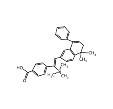 CC1(C)CC=C(c2ccccc2)c2cc(/C=C(/c3ccc(C(=O)O)cc3)[Si](C)(C)C)ccc21